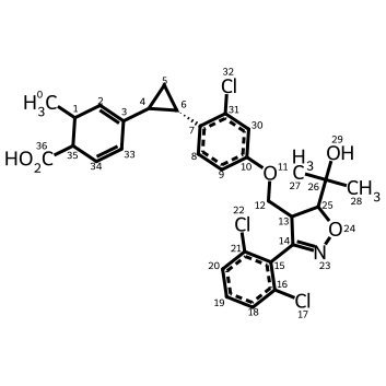 CC1C=C(C2C[C@@H]2c2ccc(OCC3C(c4c(Cl)cccc4Cl)=NOC3C(C)(C)O)cc2Cl)C=CC1C(=O)O